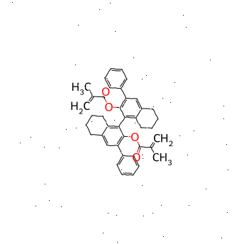 C=C(C)C(=O)Oc1c(-c2ccccc2)cc2c(c1-c1c3c(cc(-c4ccccc4)c1OC(=O)C(=C)C)CCCC3)CCCC2